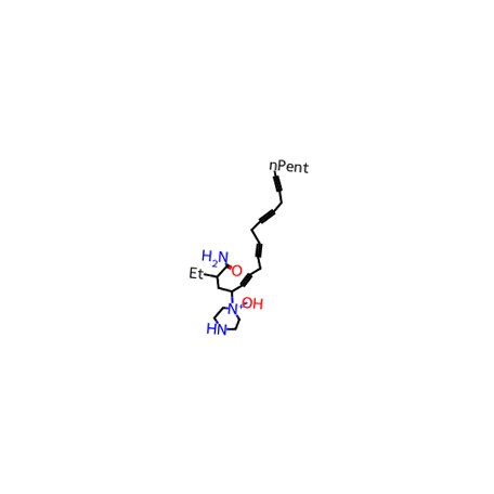 CCCCCC#CCC#CCC#CCC#CC(CC(CC)C(N)=O)[N+]1(O)CCNCC1